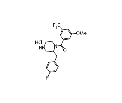 COc1cc(C(=O)N2CCNCC2Cc2ccc(F)cc2)cc(C(F)(F)F)c1.Cl